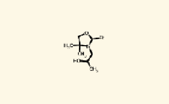 CCC1OCC(C)(C)N1CC(C)O